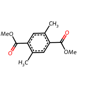 COC(=O)c1cc(C)c(C(=O)OC)cc1C